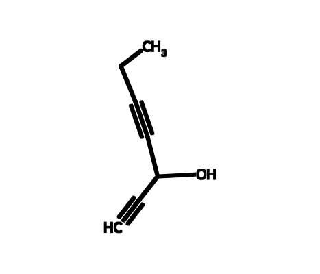 C#CC(O)C#CCC